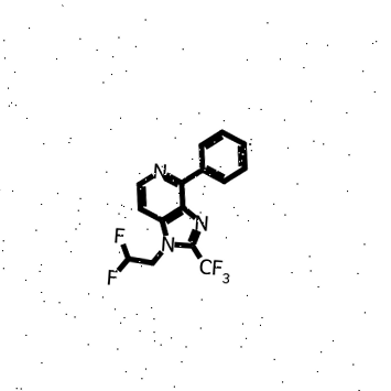 FC(F)Cn1c(C(F)(F)F)nc2c(-c3cc[c]cc3)nccc21